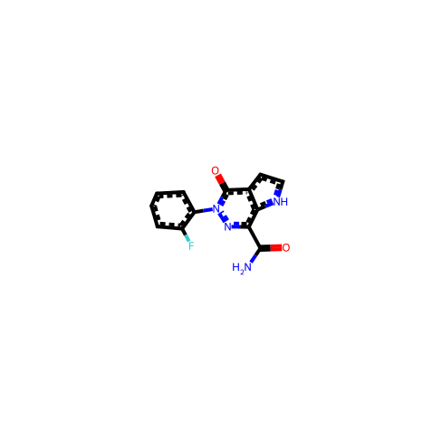 NC(=O)c1nn(-c2ccccc2F)c(=O)c2cc[nH]c12